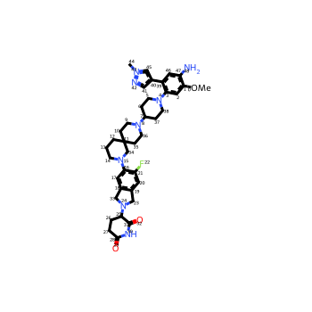 COc1cc(N2CCC(N3CCC4(CCCN(c5cc6c(cc5F)CN(C5CCC(=O)NC5=O)C6)C4)CC3)CC2)c(-c2cnn(C)c2)cc1N